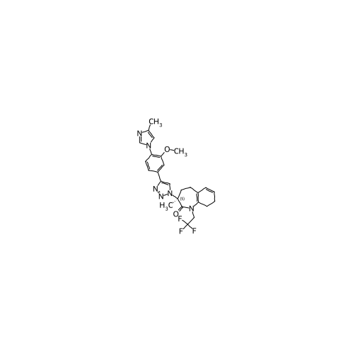 COc1cc(-c2cn([C@@]3(C)CCC4=C(CCC=C4)N(CC(F)(F)F)C3=O)nn2)ccc1-n1cnc(C)c1